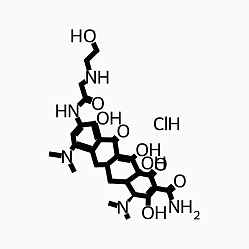 CN(C)c1cc(NC(=O)CNCCO)c(O)c2c1CC1CC3[C@H](N(C)C)C(O)=C(C(N)=O)C(=O)[C@@]3(O)C(O)=C1C2=O.Cl